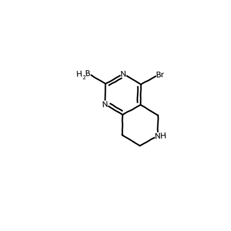 Bc1nc(Br)c2c(n1)CCNC2